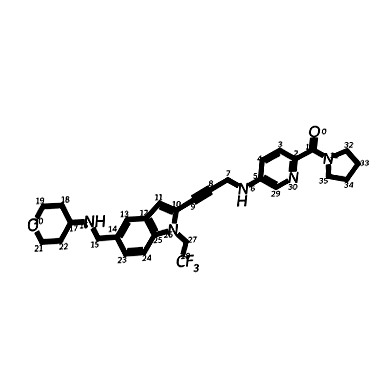 O=C(c1ccc(NCC#Cc2cc3cc(CNC4CCOCC4)ccc3n2CC(F)(F)F)cn1)N1CCCC1